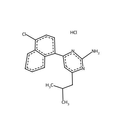 CC(C)Cc1cc(-c2ccc(Cl)c3ccccc23)nc(N)n1.Cl